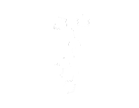 CCN1C(=O)/C(=C\c2ccc(N(c3ccccc3)c3ccccc3)cc2)O/C1=N\c1ccccc1C=O